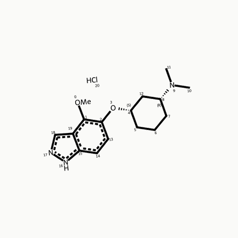 COc1c(O[C@H]2CCC[C@@H](N(C)C)C2)ccc2[nH]ncc12.Cl